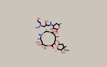 CCCN(CCO)CC(O)CN(C)C1C[C@@H](C)O[C@@H](O[C@@H]2[C@@H](C)[C@H](O[C@H]3C[C@@](C)(OC)[C@@H](O)[C@H](C)O3)[C@@H](C)C(=O)O[C@H](CC)[C@@](C)(O)[C@H](O)[C@@H](C)N(C)C[C@H](C)C[C@@]2(C)O)[C@@H]1O